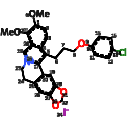 COc1ccc2c(CCCOc3ccc(Cl)cc3)c3[n+](cc2c1OC)CCc1cc2c(cc1-3)OCO2.[I-]